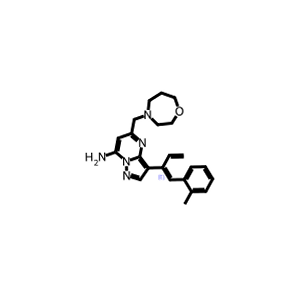 C=C/C(=C\c1ccccc1C)c1cnn2c(N)cc(CN3CCCOCC3)nc12